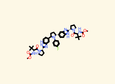 COC(=O)N[C@H](C(=O)N1CCC[C@H]1c1nc2cc(C3CC[C@H](c4ccc5[nH]c([C@@H]6CCCN6C(=O)[C@@H](NC(=O)OC)C(C)(C)C)nc5c4)N3c3ccc(F)cc3)ccc2[nH]1)C(C)(C)C